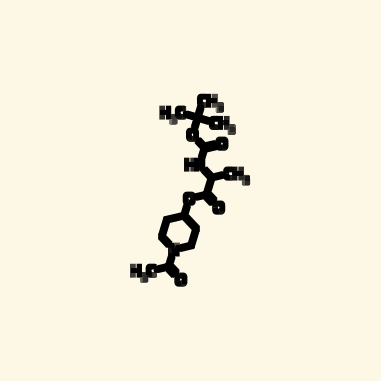 CC(=O)N1CCC(OC(=O)C(C)NC(=O)OC(C)(C)C)CC1